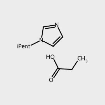 CCC(=O)O.CCCC(C)n1ccnc1